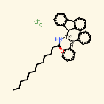 CCCCCCCCCCCC(=O)[NH][Ti+2]([CH]1c2ccccc2-c2ccccc21)[SiH](c1ccccc1)c1ccccc1.[Cl-].[Cl-]